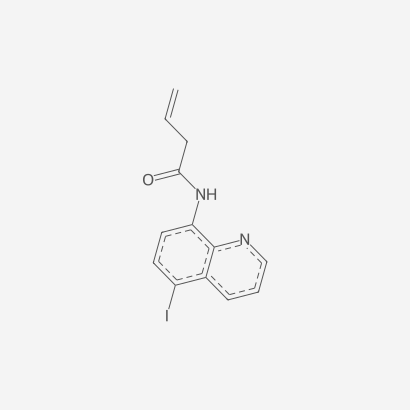 C=CCC(=O)Nc1ccc(I)c2cccnc12